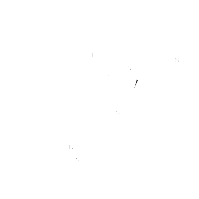 Cc1nc([C@H]2[C@H](C)C(=O)N(c3ccc4c(cnn4-c4ccc(F)cc4)c3)[C@@H]2c2ccc(Cl)s2)sc1C(N)=O